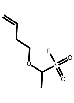 [CH]=CCCOC(C)S(=O)(=O)F